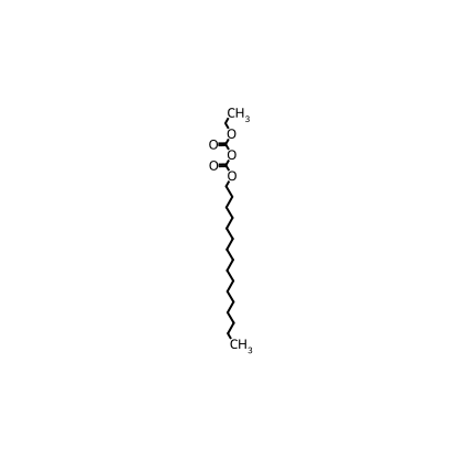 CCCCCCCCCCCCCCCCOC(=O)OC(=O)OCC